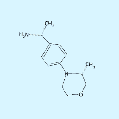 C[C@@H]1COCCN1c1ccc([C@@H](C)N)cc1